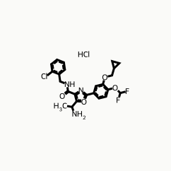 CC(N)c1oc(-c2ccc(OC(F)F)c(OCC3CC3)c2)nc1C(=O)NCc1ccccc1Cl.Cl